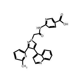 Cc1cccc(-c2nn(CC(=O)Nc3ccc(C(=O)O)cn3)cc2-c2ccnc3ccccc23)n1